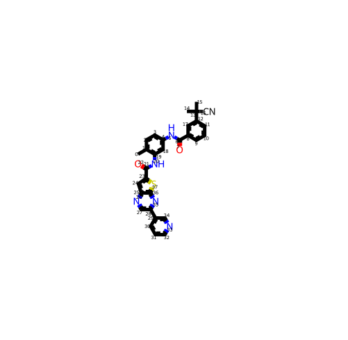 Cc1ccc(NC(=O)c2cccc(C(C)(C)C#N)c2)cc1NC(=O)c1cc2ncc(-c3cccnc3)nc2s1